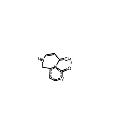 C=C1C=CNCc2ccnc(=O)n21